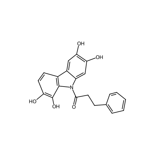 O=C(CCc1ccccc1)n1c2cc(O)c(O)cc2c2ccc(O)c(O)c21